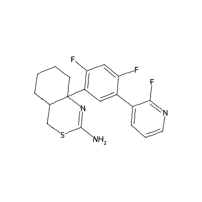 NC1=NC2(c3cc(-c4cccnc4F)c(F)cc3F)CCCCC2CS1